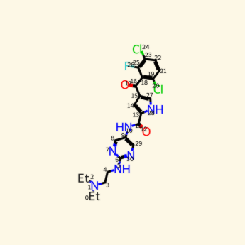 CCN(CC)CCNc1ncc(NC(=O)c2cc(C(=O)c3c(Cl)ccc(Cl)c3F)c[nH]2)cn1